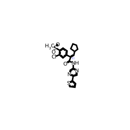 CS(=O)(=O)c1ccc(/C(=C\C2CCCC2)C(=O)Nc2cnc(-c3cccs3)cn2)cc1Cl